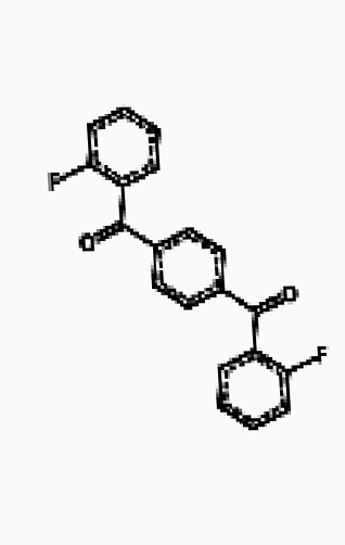 O=C(c1ccc(C(=O)c2ccccc2F)cc1)c1ccccc1F